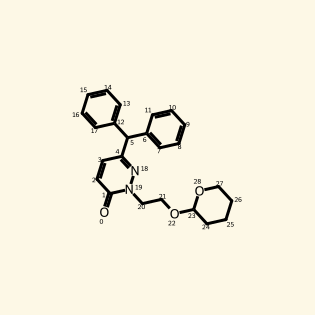 O=c1ccc(C(c2ccccc2)c2ccccc2)nn1CCOC1CCCCO1